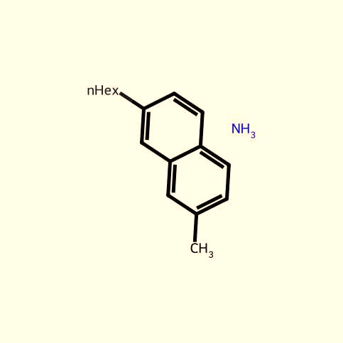 CCCCCCc1ccc2ccc(C)cc2c1.N